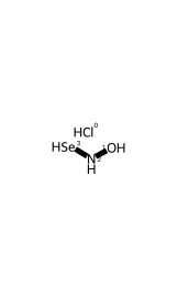 Cl.ON[SeH]